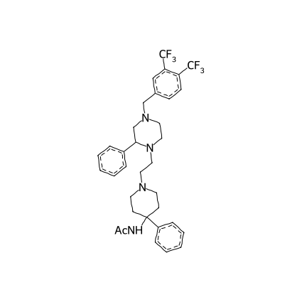 CC(=O)NC1(c2ccccc2)CCN(CCN2CCN(Cc3ccc(C(F)(F)F)c(C(F)(F)F)c3)CC2c2ccccc2)CC1